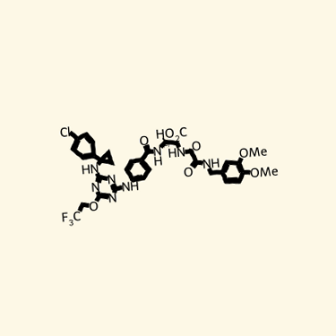 COc1ccc(CNC(=O)C(=O)NC[C@H](NC(=O)c2ccc(Nc3nc(NC4(c5ccc(Cl)cc5)CC4)nc(OCC(F)(F)F)n3)cc2)C(=O)O)cc1OC